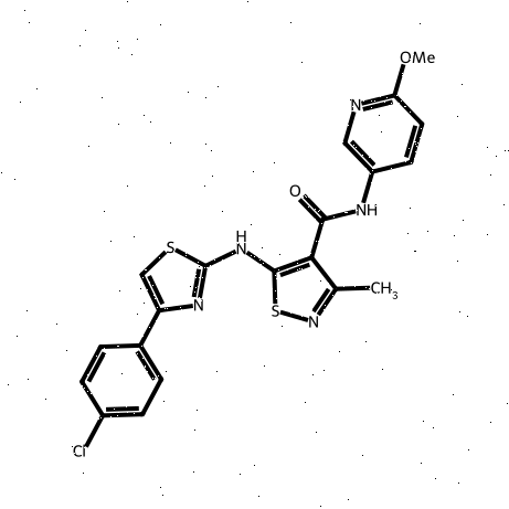 COc1ccc(NC(=O)c2c(C)nsc2Nc2nc(-c3ccc(Cl)cc3)cs2)cn1